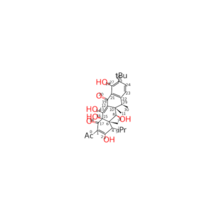 CC(=O)C1=C(O)C(C(C)C)[C@@]2(C)[C@H](O)[C@]3(C)C(=C(O)[C@@]2(O)C1=O)C(=O)c1c(ccc(C(C)(C)C)c1O)[C@H]3C